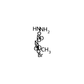 CCc1cc(Br)ccc1S(=O)(=O)N1CCN(CC2CN(c3ccc(C(=N)N)cc3)C(=O)O2)CC1